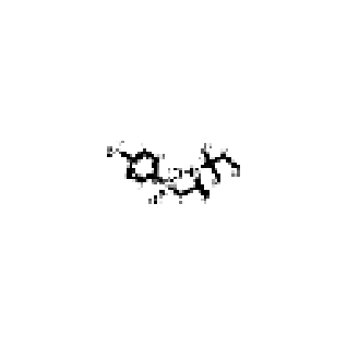 C=C(CS(=O)(=O)c1ccc(Br)cc1)NC(C)(C)CC